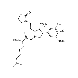 CCCCN(CCCCN(C)C)C(=O)CN1C[C@H](c2cc(OC)c3c(c2)OCO3)[C@@H](C(=O)O)[C@@H]1CCN1CCCC1=O